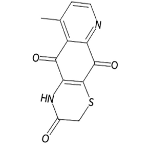 Cc1ccnc2c1C(=O)C1=C(SCC(=O)N1)C2=O